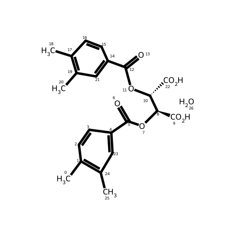 Cc1ccc(C(=O)O[C@H](C(=O)O)[C@H](OC(=O)c2ccc(C)c(C)c2)C(=O)O)cc1C.O